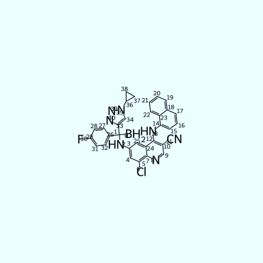 BC(Nc1cc(Cl)c2ncc(C#N)c(Nc3cccc4ccccc34)c2c1)(c1ccc(F)cc1)c1cn(C2CC2)nn1